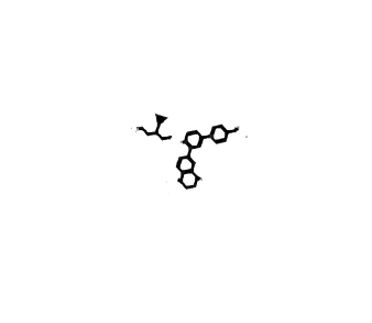 CC1(C)CCC(C)(C)c2cc(-c3cc(-c4ccc(C(=O)O)cc4)ccc3OCCC(CCN)C3CC3)ccc21